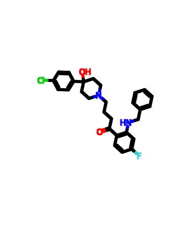 O=C(CCCN1CCC(O)(c2ccc(Cl)cc2)CC1)c1ccc(F)cc1NCc1ccccc1